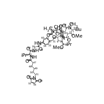 CCC(C)C(C(CC(=O)N1CCCC1C(OC)C(C)C)OC)N(C)C(=O)CNC(=O)C(C)(C)N(C)C(=O)OCc1ccc(NC(=O)CNC(=O)C(NC(=O)CCCCCN2C(=O)C=CC2=O)C(C)C)cc1